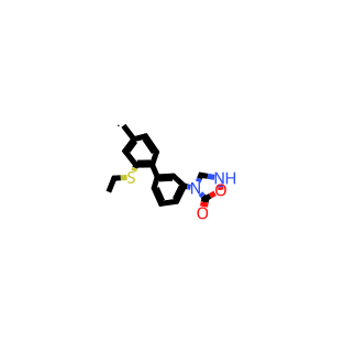 [CH2]c1ccc(-c2cccc(N3CNOC3=O)c2)c(SCC)c1